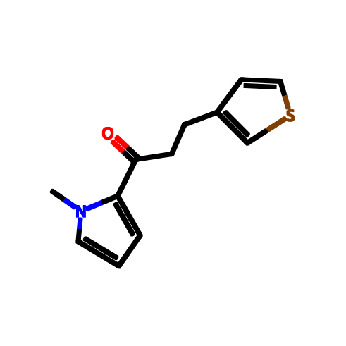 Cn1cccc1C(=O)CCc1ccsc1